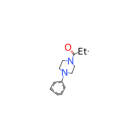 C[CH]C(=O)N1CCN(c2ccccc2)CC1